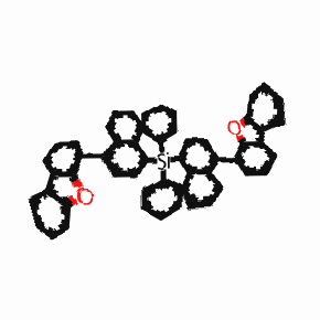 c1ccc([Si](c2ccccc2)(c2ccc(-c3cccc4c3oc3ccccc34)c3ccccc23)c2ccc(-c3cccc4c3oc3ccccc34)c3ccccc23)cc1